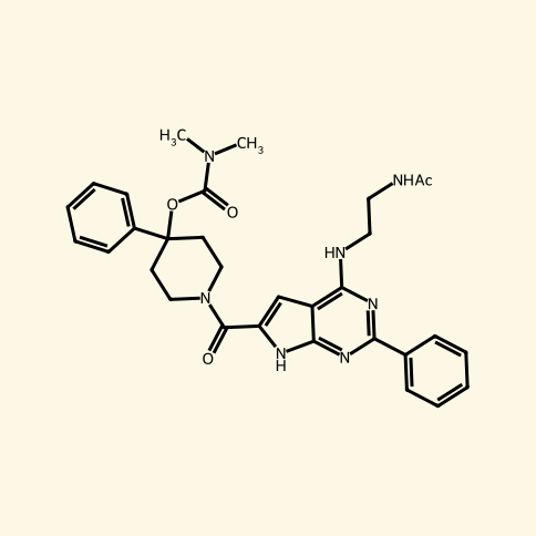 CC(=O)NCCNc1nc(-c2ccccc2)nc2[nH]c(C(=O)N3CCC(OC(=O)N(C)C)(c4ccccc4)CC3)cc12